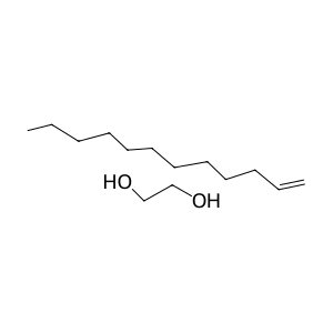 C=CCCCCCCCCCC.OCCO